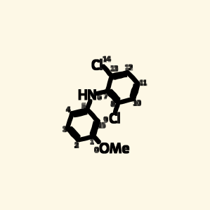 COc1cccc(Nc2c(Cl)cccc2Cl)c1